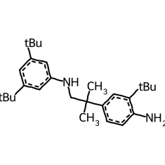 CC(C)(C)c1cc(NCC(C)(C)c2ccc(N)c(C(C)(C)C)c2)cc(C(C)(C)C)c1